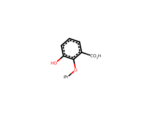 CC(C)Oc1c(O)cccc1C(=O)O